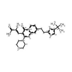 C/C(=C\c1c(N2CCOCC2)nc2cc(CCc3nc(C(C)(C)C)cs3)ccn2c1=O)C(=O)O